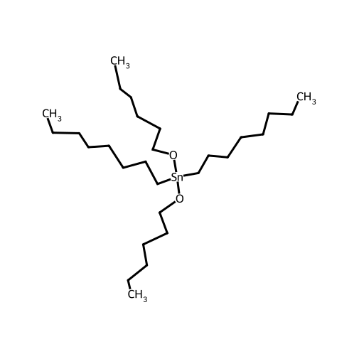 CCCCCCC[CH2][Sn]([CH2]CCCCCCC)([O]CCCCCC)[O]CCCCCC